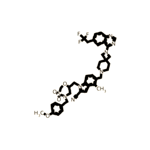 COc1ccc(CN2CC(Cn3c(C#N)cc4c(C)c(CN5CCC6(CC5)CN(c5ncnc7ccc(CC(F)(F)F)cc57)C6)ccc43)OCS2(=O)=O)cc1